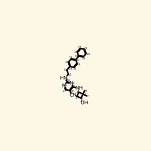 CC1(C)[C@H](O)C[C@@H]1Nc1nc(NCCc2ccc(-c3ccccc3)cc2)ncc1C#N